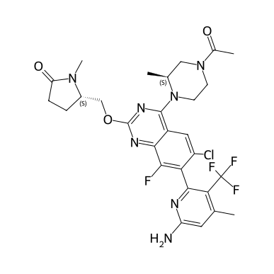 CC(=O)N1CCN(c2nc(OC[C@@H]3CCC(=O)N3C)nc3c(F)c(-c4nc(N)cc(C)c4C(F)(F)F)c(Cl)cc23)[C@@H](C)C1